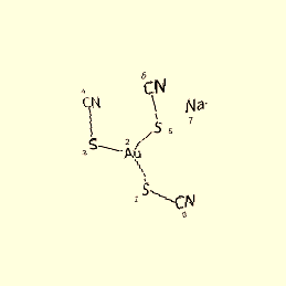 N#C[S][Au]([S]C#N)[S]C#N.[Na]